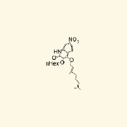 CCCCCCOc1c(OC/C=C(\C)CCC=C(C)C)c2ccc([N+](=O)[O-])cc2[nH]c1=O